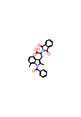 Cc1cccc2c(CC(C(=O)O)N3C(=O)c4ccccc4C3=O)c(C)n(C(=O)c3ccccc3)c12